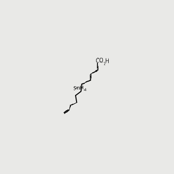 C=CCCCCCCCCC(=O)O.[SnH4]